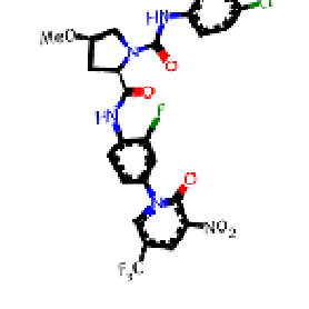 CO[C@@H]1C[C@H](C(=O)Nc2ccc(-n3cc(C(F)(F)F)cc([N+](=O)[O-])c3=O)cc2F)N(C(=O)Nc2ccc(Cl)cc2)C1